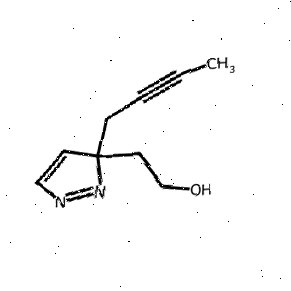 CC#CCC1(CCO)C=CN=N1